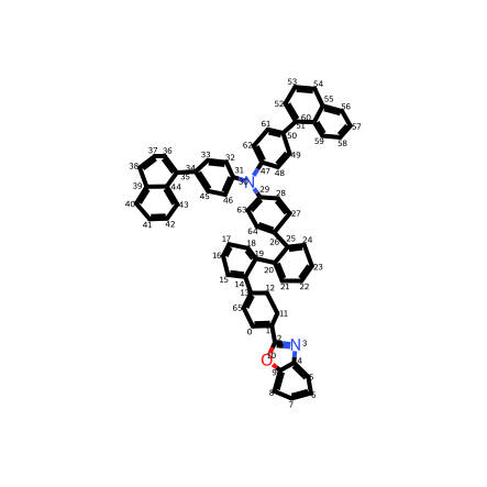 C1=C(c2nc3ccccc3o2)CCC(c2ccccc2-c2ccccc2-c2ccc(N(c3ccc(-c4cccc5ccccc45)cc3)c3ccc(-c4cccc5ccccc45)cc3)cc2)=C1